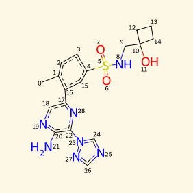 Cc1ccc(S(=O)(=O)NCC2(O)CCC2)cc1-c1cnc(N)c(-n2cncn2)n1